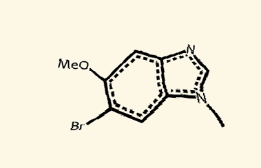 COc1cc2ncn(C)c2cc1Br